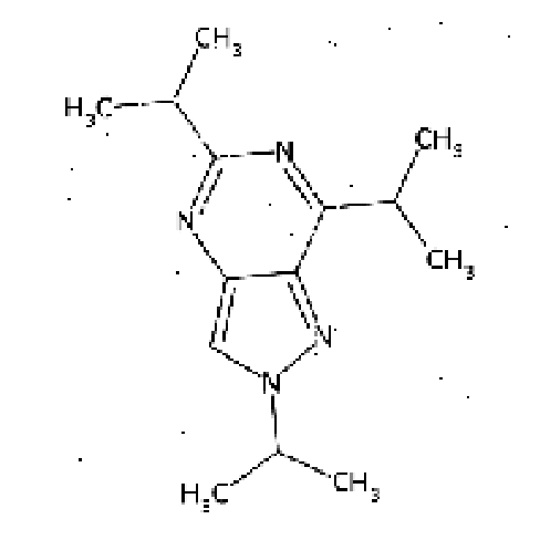 CC(C)c1nc(C(C)C)c2nn(C(C)C)cc2n1